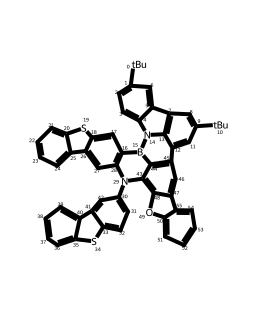 CC(C)(C)c1ccc2c(c1)c1cc(C(C)(C)C)cc3c1n2B1c2cc4sc5ccccc5c4cc2N(c2ccc4sc5ccccc5c4c2)c2c1c-3cc1c2oc2ccccc21